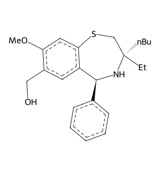 CCCC[C@@]1(CC)CSc2cc(OC)c(CO)cc2[C@H](c2ccccc2)N1